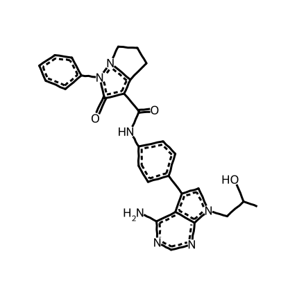 CC(O)Cn1cc(-c2ccc(NC(=O)c3c4n(n(-c5ccccc5)c3=O)CCC4)cc2)c2c(N)ncnc21